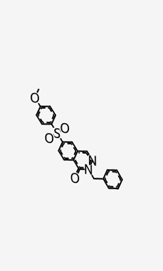 COc1ccc(S(=O)(=O)c2ccc3c(=O)n(Cc4ccccc4)ncc3c2)cc1